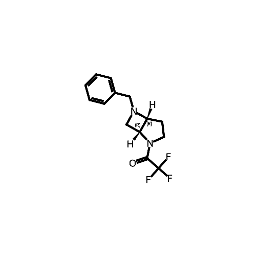 O=C(N1CC[C@@H]2[C@H]1CN2Cc1ccccc1)C(F)(F)F